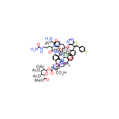 COC(=O)[C@H]1OC(OC(=O)N[C@@H](CC(=O)N(C)Cc2cc(NC(=O)C(CCCNC(N)=O)NC(=O)C(N)C(C)C)ccc2C[N+]2(C)CCN(CCOc3ccc(-c4c(-c5ccc(F)cc5)sc5ncnc(O[C@H](Cc6ccccc6OCc6ccnc(-c7ccccc7OC)n6)C(=O)O)c45)c(C)c3Cl)CC2)C(=O)O)[C@H](OC(C)=O)[C@@H](OC(C)=O)[C@@H]1OC(C)=O